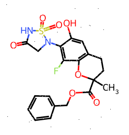 CC1(C(=O)OCc2ccccc2)CCc2cc(O)c(N3CC(=O)NS3(=O)=O)c(F)c2O1